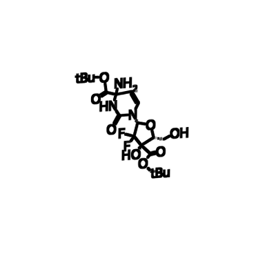 CC(C)(C)OC(=O)C1(N)C=CN([C@@H]2O[C@H](CO)[C@](O)(C(=O)OC(C)(C)C)C2(F)F)C(=O)N1